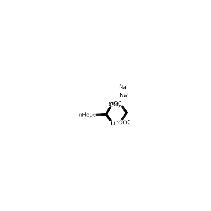 O=C([O-])CC(=O)[O-].[Li][CH](C)CCCCCCC.[Na+].[Na+]